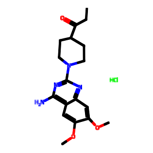 CCC(=O)C1CCN(c2nc(N)c3cc(OC)c(OC)cc3n2)CC1.Cl